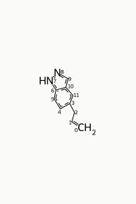 C=CCc1ccc2[nH]ncc2c1